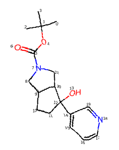 CC(C)(C)OC(=O)N1CC2CCC(O)(c3cccnc3)C2C1